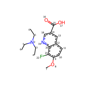 CCN(CC)CC.COc1ccc2cc(C(=O)O)cnc2c1F